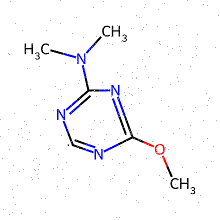 COc1n[c]nc(N(C)C)n1